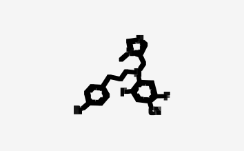 Cn1cncc1CN(CCCc1ccc(Br)cc1)c1cc(F)c(C#N)cc1F